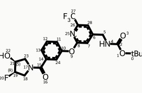 CC(C)(C)OC(=O)NCc1cc(Oc2cccc(C(=O)N3C[C@@H](F)[C@@H](O)C3)c2)nc(C(F)(F)F)c1